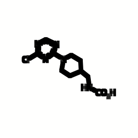 O=C(O)NCC1CCN(c2ncnc(Cl)n2)CC1